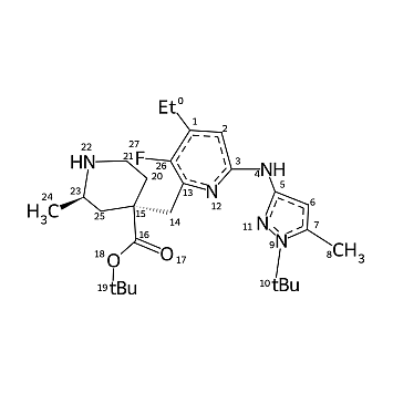 CCc1cc(Nc2cc(C)n(C(C)(C)C)n2)nc(C[C@@]2(C(=O)OC(C)(C)C)CCN[C@H](C)C2)c1F